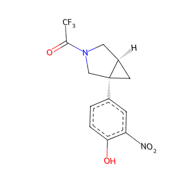 O=C(N1C[C@H]2C[C@@]2(c2ccc(O)c([N+](=O)[O-])c2)C1)C(F)(F)F